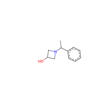 CC(c1ccccc1)N1CC(O)C1